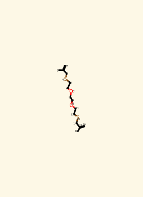 C=C(C)CSCCOCCOCCSCC(=C)C